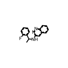 CC(Nc1cc2ccccc2nn1)c1ccccc1F